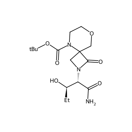 CC[C@@H](O)[C@@H](C(N)=O)N1CC2(COCCN2C(=O)OC(C)(C)C)C1=O